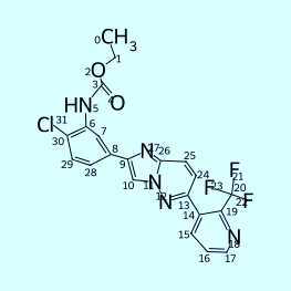 CCOC(=O)Nc1cc(-c2cn3nc(-c4cccnc4C(F)(F)F)ccc3n2)ccc1Cl